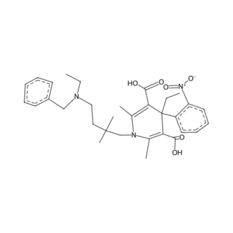 CCN(CCC(C)(C)CN1C(C)=C(C(=O)O)C(CC)(c2ccccc2[N+](=O)[O-])C(C(=O)O)=C1C)Cc1ccccc1